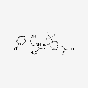 CC(CNc1ccc(CC(=O)O)cc1C(F)(F)F)NCC(O)c1cccc(Cl)c1